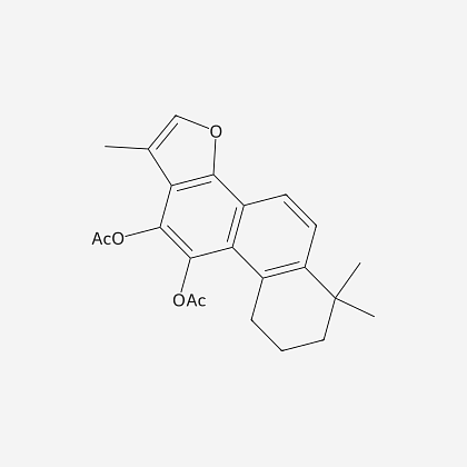 CC(=O)Oc1c(OC(C)=O)c2c(C)coc2c2ccc3c(c12)CCCC3(C)C